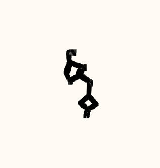 N#Cc1csc(OC2CNC2)n1